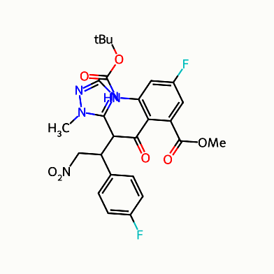 COC(=O)c1cc(F)cc(NC(=O)OC(C)(C)C)c1C(=O)C(c1ncnn1C)C(C[N+](=O)[O-])c1ccc(F)cc1